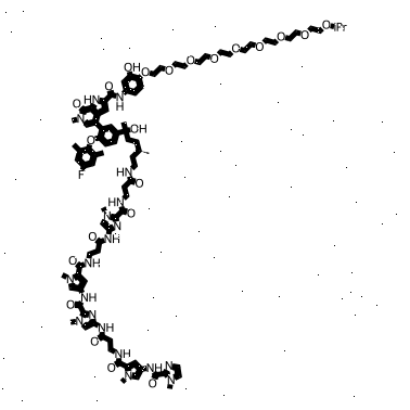 Cc1cc(F)cc(C)c1Oc1ccc(C(C)(O)CC[C@H](C)CCNC(=O)CCNC(=O)c2nc(NC(=O)CCNC(=O)c3cc(NC(=O)c4nc(NC(=O)CCNC(=O)c5cc(NC(=O)c6nccn6C)cn5C)cn4C)cn3C)cn2C)cc1-c1cn(C)c(=O)c2[nH]c(C(=O)Nc3ccc(OCCOCCOCCOCCOCCOCCOCCOCCOC(C)C)c(O)c3)cc12